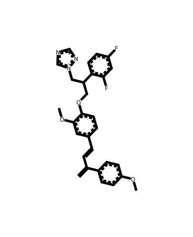 C=C(/C=C/c1ccc(OCC(Cn2cncn2)c2ccc(F)cc2F)c(OC)c1)c1ccc(OC)cc1